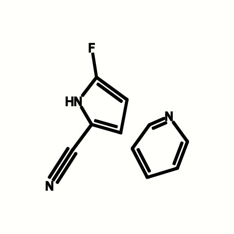 N#Cc1ccc(F)[nH]1.c1ccncc1